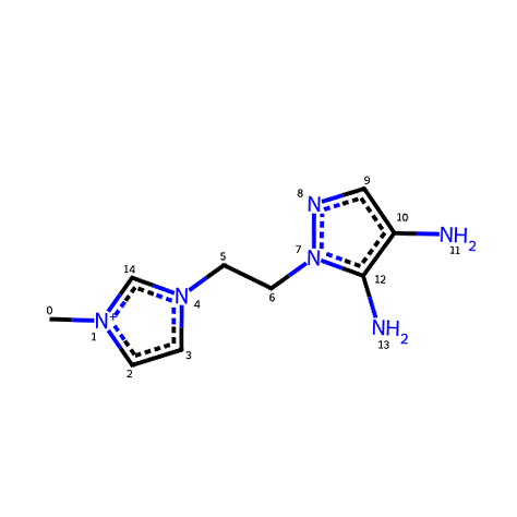 C[n+]1ccn(CCn2ncc(N)c2N)c1